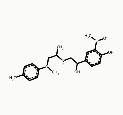 Cc1ccc(N(C)CC(C)NCC(O)c2ccc(O)c([S+](C)[O-])c2)cc1